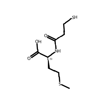 CSCC[C@H](NC(=O)CCS)C(=O)O